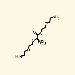 Cl.Cl.NCCOCCOC(=O)C(=O)OCCOCCN